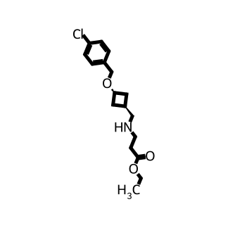 CCOC(=O)CCNC[C@H]1C[C@H](OCc2ccc(Cl)cc2)C1